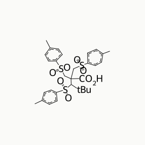 Cc1ccc(S(=O)(=O)CC(CS(=O)(=O)c2ccc(C)cc2)(C(=O)O)C(C(C)(C)C)S(=O)(=O)c2ccc(C)cc2)cc1